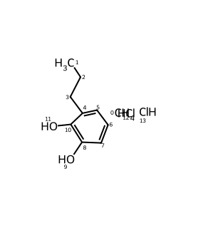 C.CCCc1cccc(O)c1O.Cl.Cl